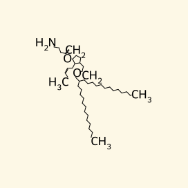 C=C(CC1CCC(OC(=C)CCCN)C1C/C=C\CC)OCC(CCCCCCCCCCCCC)CCCCCCCCCCCCCC